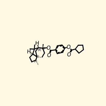 C[C@@H]1CC[C@H]2C(C)(C)[C@H]3C[C@@]12CC[C@@]3(C)OC(=O)c1ccc(OC(=O)C2CCCC2)cc1